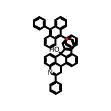 OC1(c2ccccc2)c2cccc3c2C(CC(c2ccccc2)=N3)c2cccc(-c3cccc(-c4c5ccccc5c(-c5ccccc5)c5ccccc45)c3)c21